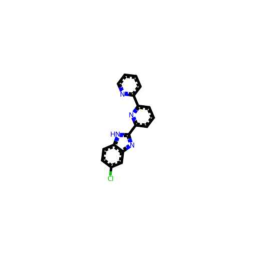 Clc1ccc2[nH]c(-c3cccc(-c4ccccn4)n3)nc2c1